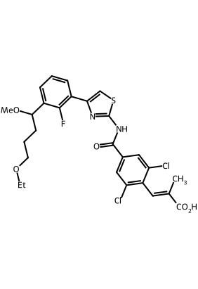 CCOCCCC(OC)c1cccc(-c2csc(NC(=O)c3cc(Cl)c(C=C(C)C(=O)O)c(Cl)c3)n2)c1F